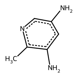 Cc1ncc(N)cc1N